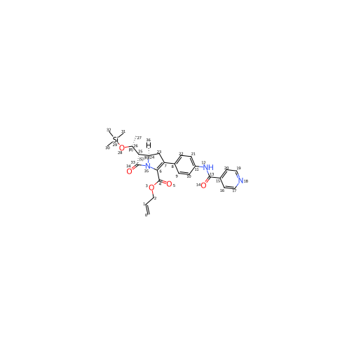 C=CCOC(=O)C1=C(c2ccc(NC(=O)c3ccncc3)cc2)C[C@@H]2[C@@H]([C@@H](C)O[Si](C)(C)C)C(=O)N12